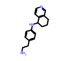 NCCc1ccc(NC2CCCc3cnccc32)cc1